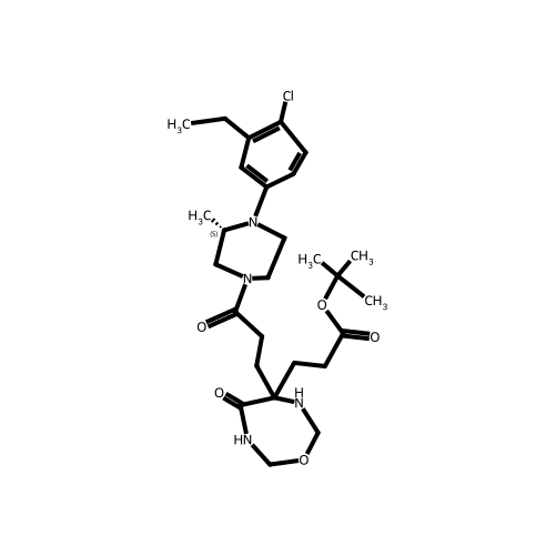 CCc1cc(N2CCN(C(=O)CCC3(CCC(=O)OC(C)(C)C)NCOCNC3=O)C[C@@H]2C)ccc1Cl